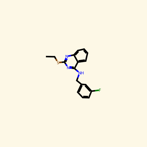 CCSc1nc(NCc2cccc(F)c2)c2ccccc2n1